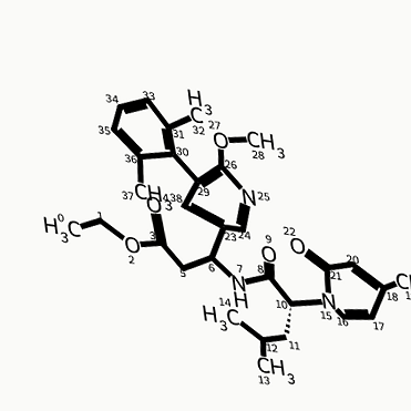 CCOC(=O)CC(NC(=O)[C@@H](CC(C)C)n1ccc(C)cc1=O)c1cnc(OC)c(-c2c(C)cccc2C)c1